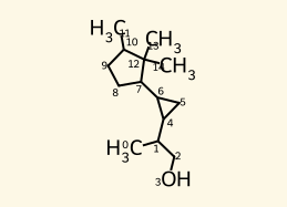 CC(CO)C1CC1C1CCC(C)C1(C)C